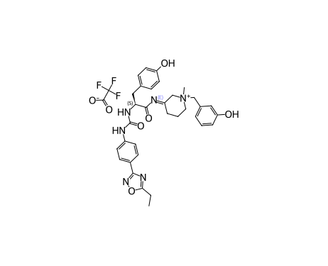 CCc1nc(-c2ccc(NC(=O)N[C@@H](Cc3ccc(O)cc3)C(=O)/N=C3\CCC[N+](C)(Cc4cccc(O)c4)C3)cc2)no1.O=C([O-])C(F)(F)F